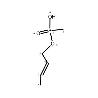 CC=CCOP(C)(=O)O